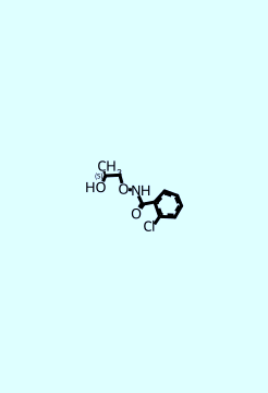 C[C@H](O)CONC(=O)c1ccccc1Cl